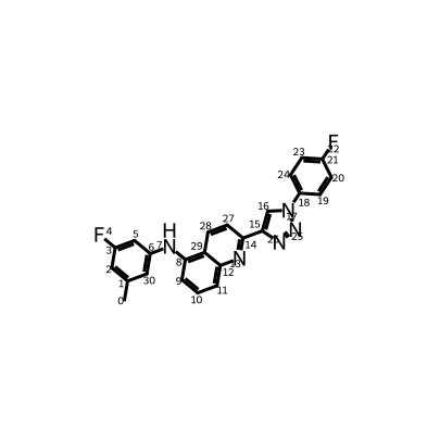 Cc1cc(F)cc(Nc2cccc3nc(-c4cn(-c5ccc(F)cc5)nn4)ccc23)c1